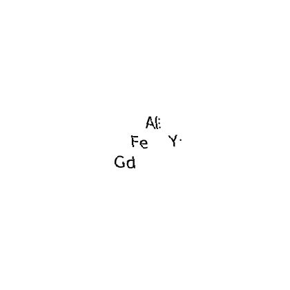 [Al].[Fe].[Gd].[Y]